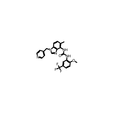 COc1ccc(C(F)(F)F)cc1NC(=O)Nc1c(C)ccc2c1ncn2Cc1ccncc1